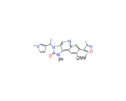 COc1cc2c(cc1-c1c(C)noc1C)ncc1c2n(C(C)C)c(=O)n1C(C)c1ccn(C)c1